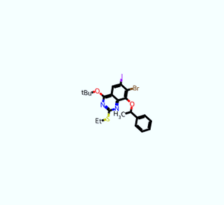 CCSc1nc(OC(C)(C)C)c2cc(I)c(Br)c(OC(C)c3ccccc3)c2n1